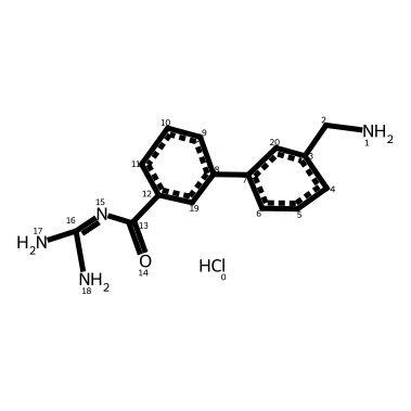 Cl.NCc1cccc(-c2cccc(C(=O)N=C(N)N)c2)c1